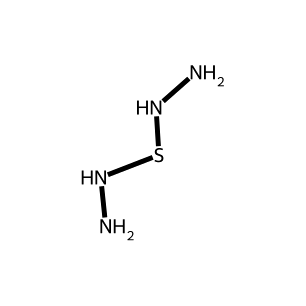 NNSNN